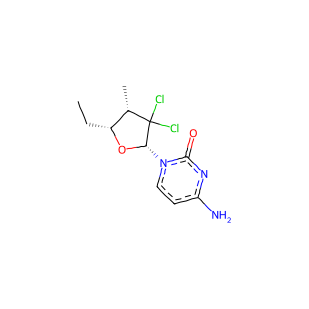 CC[C@H]1O[C@@H](n2ccc(N)nc2=O)C(Cl)(Cl)[C@H]1C